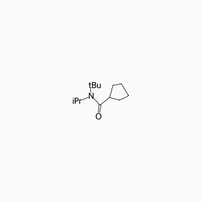 CC(C)N(C(=O)C1CCCC1)C(C)(C)C